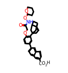 O=C(COc1ccc(-c2ccc3cc(C(=O)O)ccc3c2)cc1C12CC=C3C(CC3C1)C2)NOC1CCCCO1